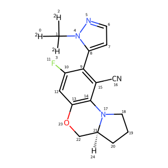 [2H]C([2H])([2H])n1nccc1-c1c(F)cc2c(c1C#N)N1CCC[C@H]1CO2